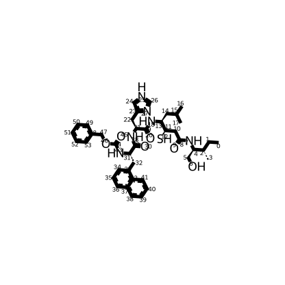 CC[C@H](C)[C@@H](CO)NC(=O)C[C@H](S)[C@H](CC(C)C)NC(=O)[C@H](Cc1c[nH]cn1)NC(=O)[C@H](Cc1cccc2ccccc12)NC(=O)OCc1ccccc1